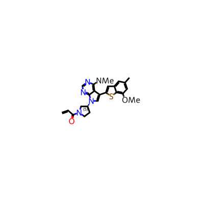 C=CC(=O)N1CC[C@H](n2cc(-c3cc4cc(C)cc(OC)c4s3)c3c(NC)ncnc32)C1